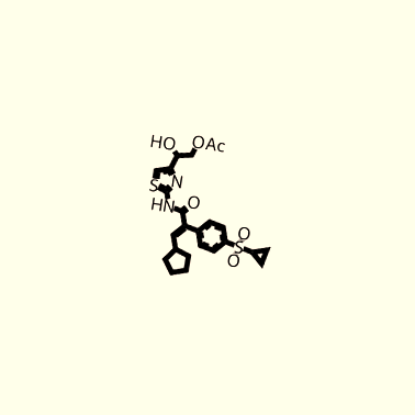 CC(=O)OCC(O)c1csc(NC(=O)/C(=C/C2CCCC2)c2ccc(S(=O)(=O)C3CC3)cc2)n1